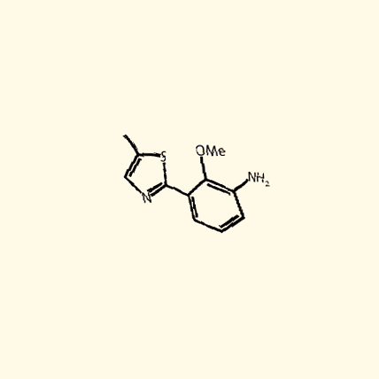 COc1c(N)cccc1-c1ncc(C)s1